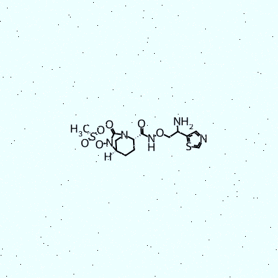 CS(=O)(=O)ON1C(=O)N2C[C@H]1CC[C@H]2C(=O)NOCC(N)c1cncs1